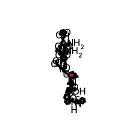 Cc1c(-c2ccc(N3CCc4cccc(C(=O)Nc5nc6ccccc6s5)c4C3)nc2C(=O)O)cnn1CC12CC3(C)CC(C)(C1)CC(OCCN(CCCS(=O)(=O)O)C(=O)OCc1ccc(N(C(=O)[C@@H](NC(=O)CCCCCN4C(=O)C=CC4=O)C(C)C)[C@@H](CCCNC(N)=O)C(N)=O)cc1)(C3)C2